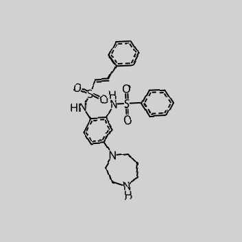 O=S(=O)(C=Cc1ccccc1)Nc1ccc(N2CCCNCC2)cc1NS(=O)(=O)c1ccccc1